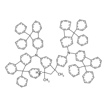 CC1(C)CC(C)(c2ccc(N(c3ccc4c(c3)C(c3ccccc3)(c3ccccc3)c3ccccc3-4)c3ccc4c(c3)C(c3ccccc3)(c3ccccc3)c3ccccc3-4)cc2)c2ccc(N(c3ccc4c(c3)C(c3ccccc3)(c3ccccc3)c3ccccc3-4)c3ccc4c(c3)C(c3ccccc3)(c3ccccc3)c3ccccc3-4)cc21